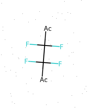 CC(=O)C(F)(F)C(F)(F)C(C)=O